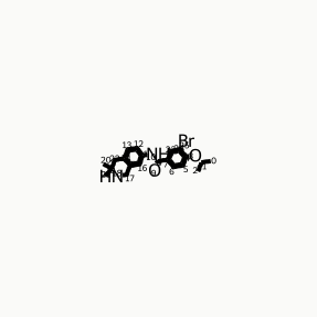 CC(C)Oc1ccc(C(=O)Nc2ccc3c(c2)CNC(C)(C)C3)cc1Br